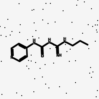 CCCNC(=N)NC(=O)Nc1ccncc1